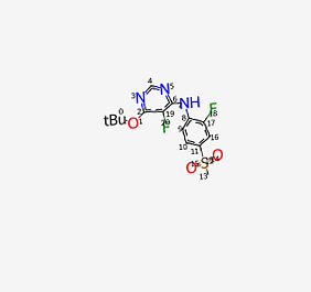 CC(C)(C)Oc1ncnc(Nc2ccc(S(C)(=O)=O)cc2F)c1F